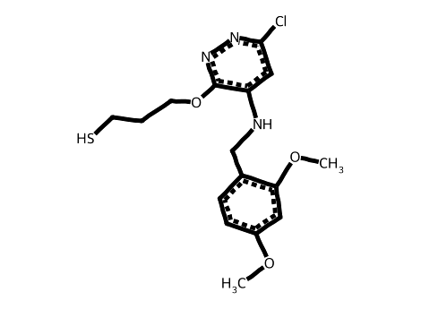 COc1ccc(CNc2cc(Cl)nnc2OCCCS)c(OC)c1